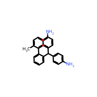 Cc1ccccc1-c1ccccc1C(c1ccc(N)cc1)c1ccc(N)cc1